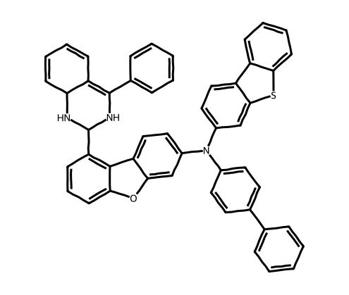 C1=CC2=C(c3ccccc3)NC(c3cccc4oc5cc(N(c6ccc(-c7ccccc7)cc6)c6ccc7c(c6)sc6ccccc67)ccc5c34)NC2C=C1